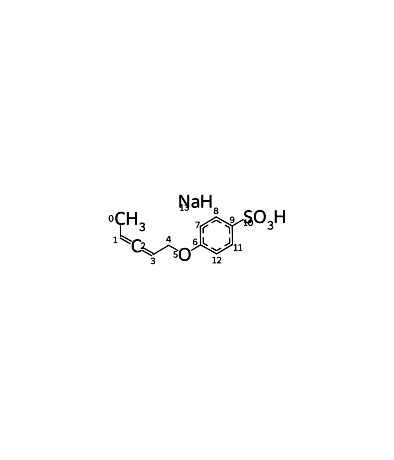 CC=C=CCOc1ccc(S(=O)(=O)O)cc1.[NaH]